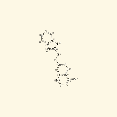 S=c1cc[nH]c2cc(CSc3nc4ccccc4[nH]3)ccc12